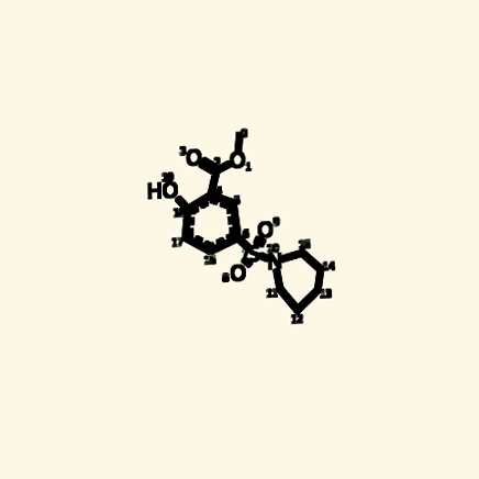 COC(=O)c1cc(S(=O)(=O)N2CCCCC2)ccc1O